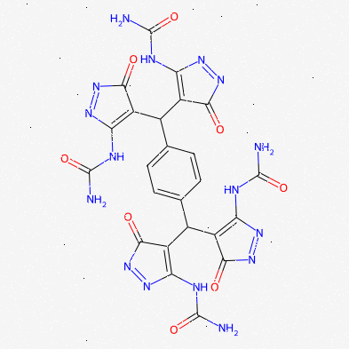 NC(=O)NC1=C(C(C2=C(NC(N)=O)N=NC2=O)c2ccc(C(C3=C(NC(N)=O)N=NC3=O)C3=C(NC(N)=O)N=NC3=O)cc2)C(=O)N=N1